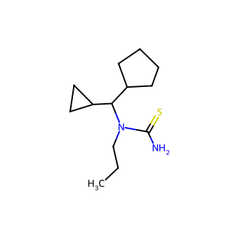 CCCN(C(N)=S)C(C1CCCC1)C1CC1